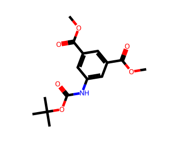 COC(=O)c1cc(NC(=O)OC(C)(C)C)cc(C(=O)OC)c1